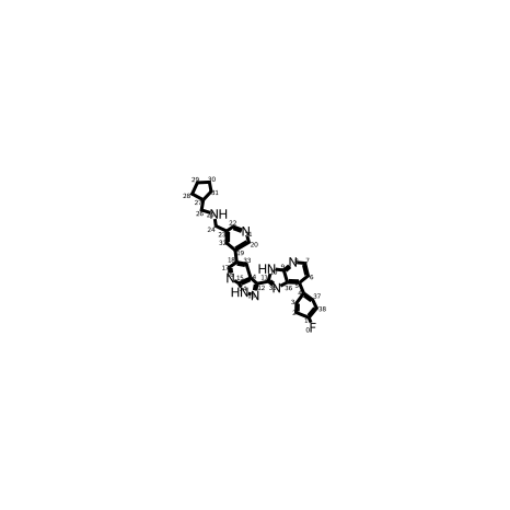 Fc1ccc(-c2ccnc3[nH]c(-c4n[nH]c5ncc(-c6cncc(CNCC7CCCC7)c6)cc45)nc23)cc1